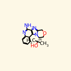 CC(C)(O)[C@H]1COCc2nc3c(N)nc4ccccc4c3n21